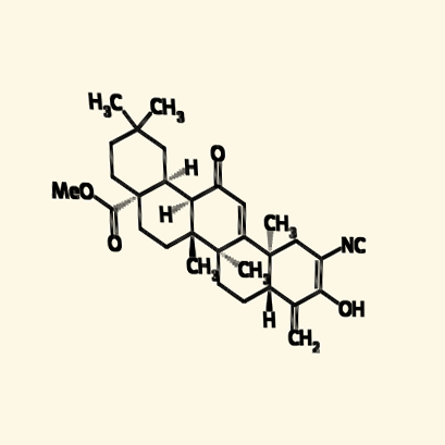 [C-]#[N+]C1=C(O)C(=C)[C@@H]2CC[C@]3(C)C(=CC(=O)[C@@H]4[C@@H]5CC(C)(C)CC[C@]5(C(=O)OC)CC[C@]43C)[C@@]2(C)C1